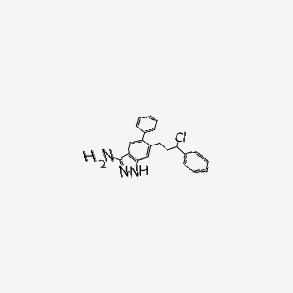 Nc1n[nH]c2cc(CCC(Cl)c3ccccc3)c(-c3ccccc3)cc12